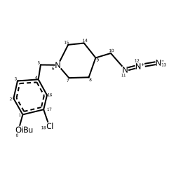 CC(C)COc1ccc(CN2CCC(CN=[N+]=[N-])CC2)cc1Cl